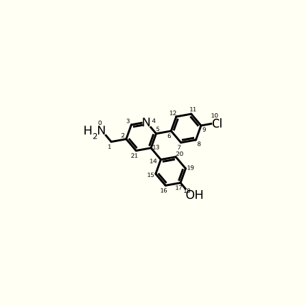 NCc1cnc(-c2ccc(Cl)cc2)c(-c2ccc(O)cc2)c1